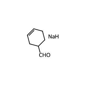 O=CC1CC=CCC1.[NaH]